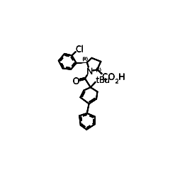 CC(C)(C)C1(C(=O)N2[C@@H](c3ccccc3Cl)CC[C@H]2C(=O)O)C=CC(c2ccccc2)=CC1